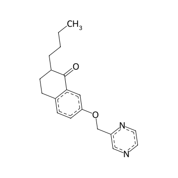 CCCCC1CCc2ccc(OCc3cnccn3)cc2C1=O